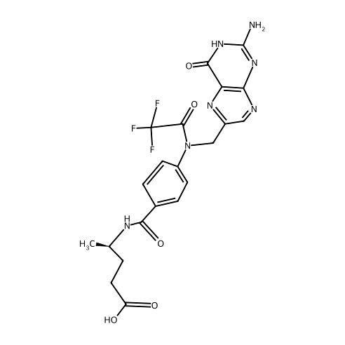 C[C@H](CCC(=O)O)NC(=O)c1ccc(N(Cc2cnc3nc(N)[nH]c(=O)c3n2)C(=O)C(F)(F)F)cc1